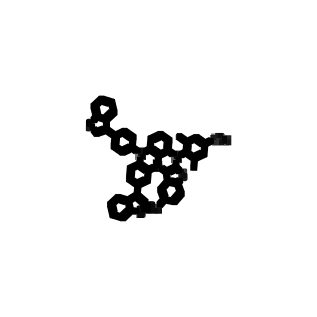 Cc1cc(C(C)(C)C)cc(C)c1N1c2cccc3c2B(c2cc(-c4csc5ccccc45)ccc2N3c2ccc(-c3csc4ccccc34)cc2)c2c1sc1ccc(C(C)(C)C)cc21